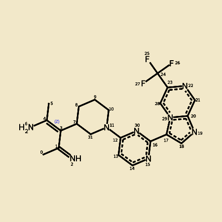 CC(=N)/C(=C(/C)N)C1CCCN(c2ccnc(-c3cnc4cnc(C(F)(F)F)cn34)n2)C1